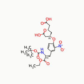 CCOC(=O)[C@H](Cc1ccc(O[C@H](CCCC(=O)O)CC(=O)O)c([N+](=O)[O-])c1)NC(=O)OC(C)(C)C